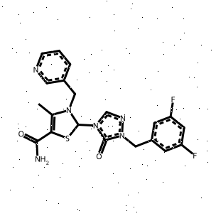 CC1=C(C(N)=O)SC(n2cnn(Cc3cc(F)cc(F)c3)c2=O)N1Cc1cccnc1